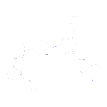 NC(=O)c1cccc2cc(C(=O)N3CCN(c4nc(-c5ccc(N)c(F)c5)nc(N5CCOCC5)n4)CC3)oc12